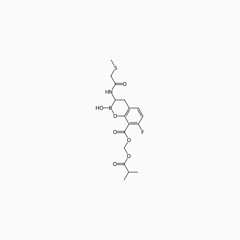 CSCC(=O)NC1Cc2ccc(F)c(C(=O)OCOC(=O)C(C)C)c2OB1O